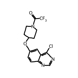 O=C(N1CCC(Oc2ccc3ncnc(Cl)c3c2)CC1)C(F)(F)F